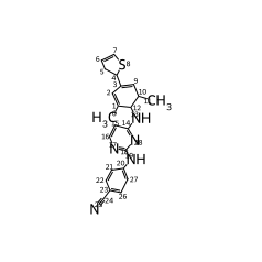 CC1=CC(C2CC=CS2)=CC(C)C1Nc1ccnc(Nc2ccc(C#N)cc2)n1